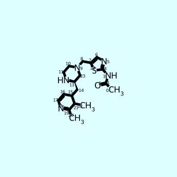 CC(=O)Nc1ncc(CN2CCN[C@H](CC3C=CN=C(C)C3C)C2)s1